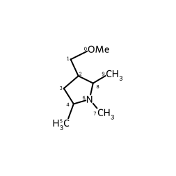 COCC1CC(C)N(C)C1C